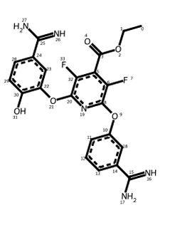 CCOC(=O)c1c(F)c(Oc2cccc(C(=N)N)c2)nc(Oc2cc(C(=N)N)ccc2O)c1F